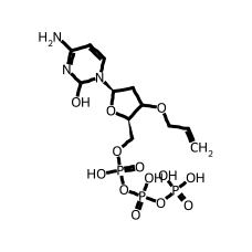 C=CCOC1C[C@H](N2C=CC(N)=NC2O)O[C@@H]1COP(=O)(O)OP(=O)(O)OP(=O)(O)O